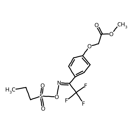 CCCS(=O)(=O)O/N=C(/c1ccc(OCC(=O)OC)cc1)C(F)(F)F